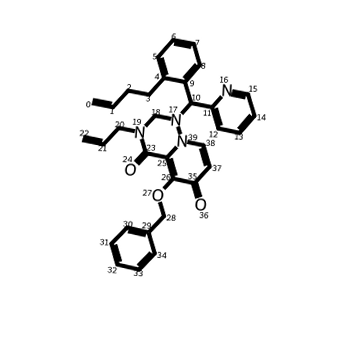 C=CCCc1ccccc1C(c1ccccn1)N1CN(CC=C)C(=O)c2c(OCc3ccccc3)c(=O)ccn21